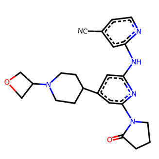 N#Cc1ccnc(Nc2cc(C3CCN(C4COC4)CC3)cc(N3CCCC3=O)n2)c1